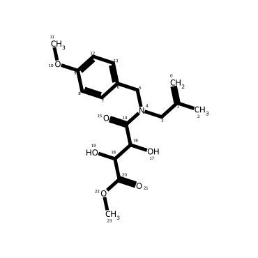 C=C(C)CN(Cc1ccc(OC)cc1)C(=O)C(O)C(O)C(=O)OC